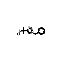 CC(C)(N=O)c1cn(Cc2ccccc2)nn1